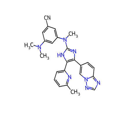 Cc1cccc(-c2[nH]c(N(C)c3cc(C#N)cc(N(C)C)c3)nc2-c2ccc3ncnn3c2)n1